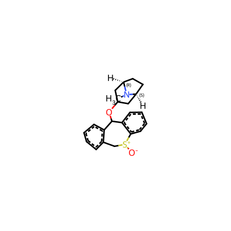 CN1[C@@H]2CC[C@H]1CC(OC1c3ccccc3C[S+]([O-])c3ccccc31)C2